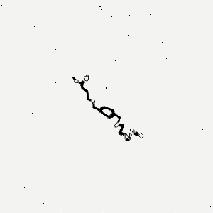 COC(=O)CCCOCC1CCC(COCCN(C)N=O)CC1